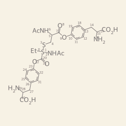 CCS(NC(C)=O)(SCC(NC(C)=O)C(=O)Oc1ccc(CC(N)C(=O)O)cc1)C(=O)Oc1ccc(CC(N)C(=O)O)cc1